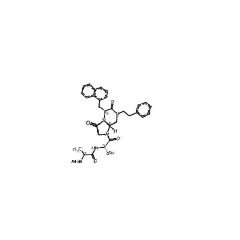 CN[C@@H](C)C(=O)N[C@H](C(=O)N1CC(=O)N2[C@@H]1CN(CCc1ccccc1)C(=O)[C@@H]2Cc1cccc2ccccc12)C(C)(C)C